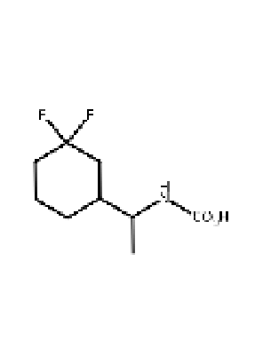 CC(NC(=O)O)C1CCCC(F)(F)C1